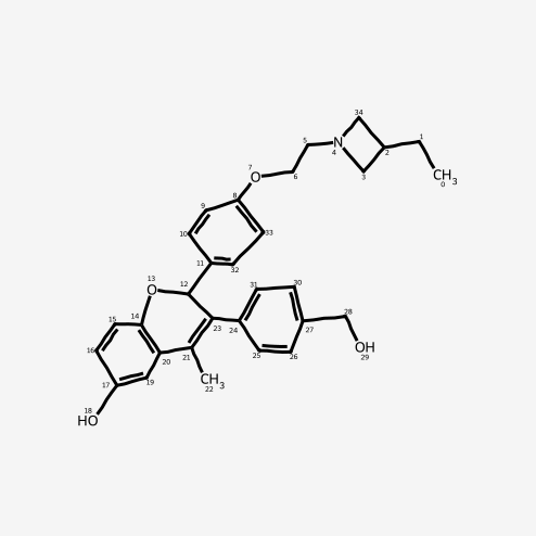 CCC1CN(CCOc2ccc(C3Oc4ccc(O)cc4C(C)=C3c3ccc(CO)cc3)cc2)C1